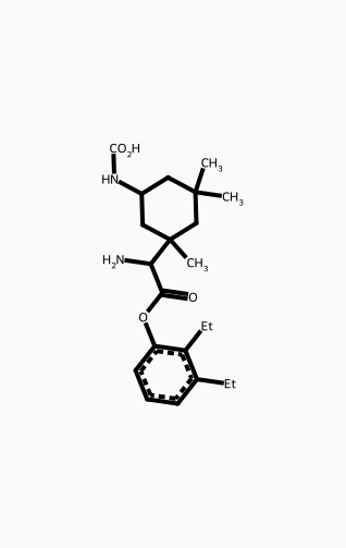 CCc1cccc(OC(=O)C(N)C2(C)CC(NC(=O)O)CC(C)(C)C2)c1CC